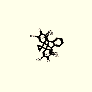 CC(C)(C)C1=CC2(C=C(C(C)(C)C)C1=O)C1(CC1)C1(C=C(C(C)(C)C)C(=O)C(C(C)(C)C)=C1)C21C(=C(C#N)C#N)c2ccccc2C1=C(C#N)C#N